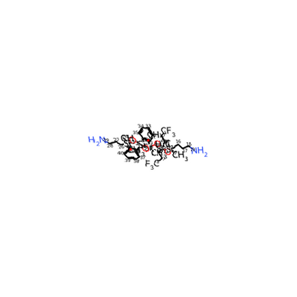 C=C[Si](C)(O[Si](CCC(F)(F)F)(CCC(F)(F)F)O[Si](C)(C)CCCN)O[Si](O[Si](C)(C)CCCN)(c1ccccc1)c1ccccc1